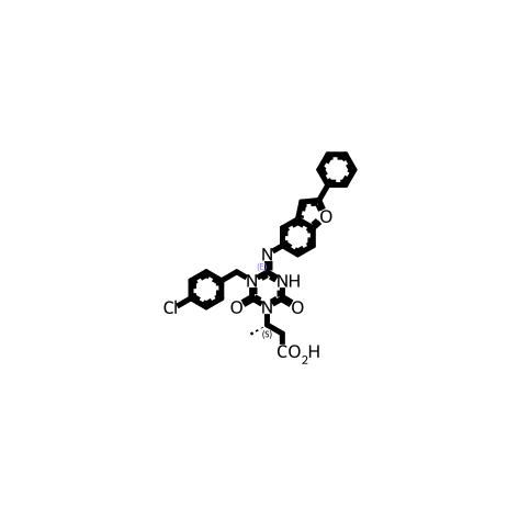 C[C@@H](CC(=O)O)n1c(=O)[nH]/c(=N\c2ccc3oc(-c4ccccc4)cc3c2)n(Cc2ccc(Cl)cc2)c1=O